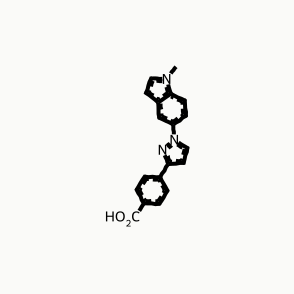 Cn1ccc2cc(-n3ccc(-c4ccc(C(=O)O)cc4)n3)ccc21